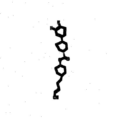 N#CC=CCC[C@H]1CC[C@H](OC(=O)[C@H]2CC[C@H](c3ccc(F)c(F)c3)CC2)CC1